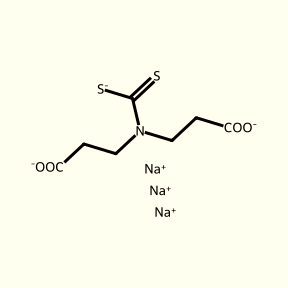 O=C([O-])CCN(CCC(=O)[O-])C(=S)[S-].[Na+].[Na+].[Na+]